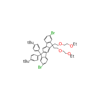 CCOCCOCCC1(CCOCCOCC)c2cc(Br)ccc2-c2cc3c(cc21)-c1ccc(Br)cc1C3(c1ccc(C(C)(C)C)cc1)c1ccc(C(C)(C)C)cc1